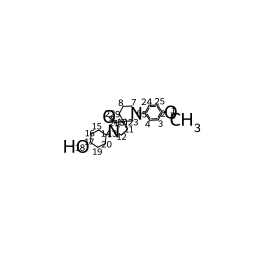 COc1ccc(N2CCC[C@]3(CCN(C4CCC(O)CC4)C3=O)C2)cc1